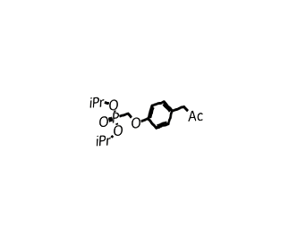 CC(=O)Cc1ccc(OCP(=O)(OC(C)C)OC(C)C)cc1